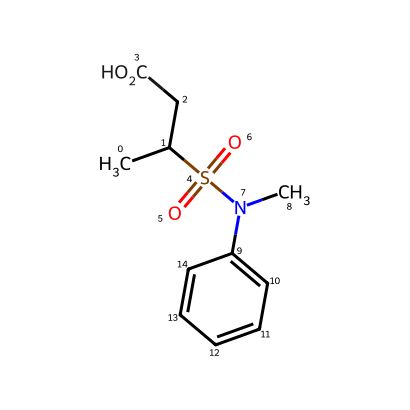 CC(CC(=O)O)S(=O)(=O)N(C)c1ccccc1